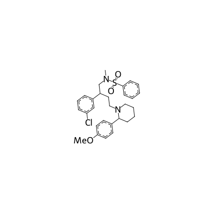 COc1ccc(C2CCCCN2CCC(CN(C)S(=O)(=O)c2ccccc2)c2cccc(Cl)c2)cc1